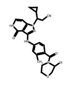 CCC1COCCN1C(=O)c1ccc(Nc2nn(C(CC#N)C3CC3)c3cc[nH]c(=O)c23)cc1C